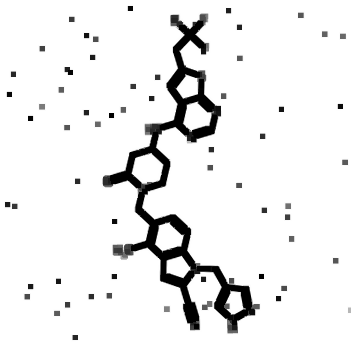 Cc1c(CN2CCC(Nc3ncnc4sc(CC(F)(F)F)cc34)CC2=O)ccc2c1cc(C#N)n2Cc1cn[nH]c1